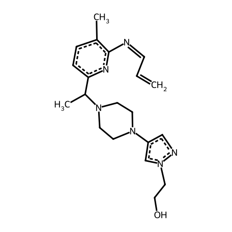 C=C/C=N\c1nc(C(C)N2CCN(c3cnn(CCO)c3)CC2)ccc1C